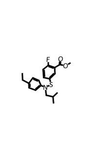 CCc1ccc(N(CC(C)C)Sc2ccc(F)c(C(=O)OC)c2)cc1